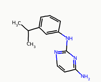 CC(C)c1cccc(Nc2nccc(N)n2)c1